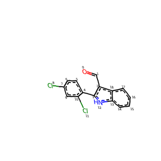 O=Cc1c(-c2ccc(Cl)cc2Cl)[nH]c2ccccc12